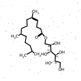 CC(=CCCC(=O)OC[C@@H](O)[C@H](O)[C@@H](O)[C@@H](O)CO)CCCC(C)CCCC(C)C